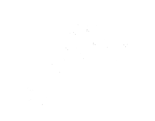 Cc1cc(-c2cccnc2)nc2c(C(=O)NCCC3CCC(c4ccco4)CC3)ncn12